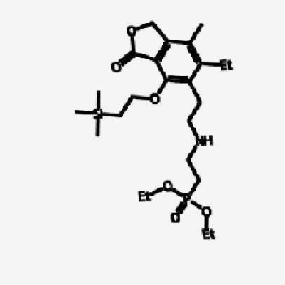 CCOP(=O)(CCNCCc1c(CC)c(C)c2c(c1OCC[Si](C)(C)C)C(=O)OC2)OCC